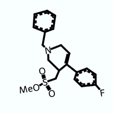 COS(=O)(=O)CC1CN(Cc2ccccc2)CC=C1c1ccc(F)cc1